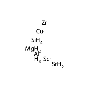 [AlH3].[Cu].[MgH2].[Sc].[SiH4].[SrH2].[Zr]